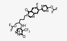 O=c1[nH]ncc(NC(CCCn2cnc3cc(-c4cnc(OC(F)F)cn4)c(F)cc3c2=O)COC(F)F)c1C(F)(F)F